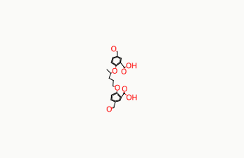 CC(CCCOc1ccc(C=O)cc1C(=O)O)Oc1ccc(C=O)cc1C(=O)O